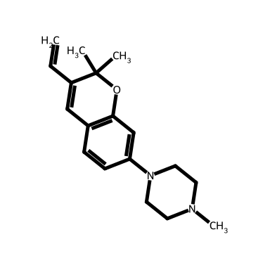 C=CC1=Cc2ccc(N3CCN(C)CC3)cc2OC1(C)C